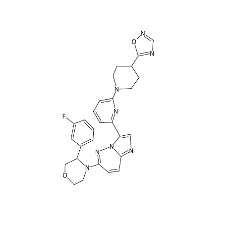 Fc1cccc(C2COCCN2c2ccc3ncc(-c4cccc(N5CCC(c6ncno6)CC5)n4)n3n2)c1